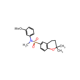 COc1cccc(N(C)S(=O)(=O)c2ccc3c(c2)CCC(C)(C)O3)c1